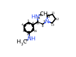 CNc1cccc([C@H](CN2CCCC2)NC)c1